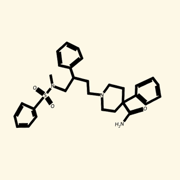 CN(CC(CCN1CCC(C(N)=O)(c2ccccc2)CC1)c1ccccc1)S(=O)(=O)c1ccccc1